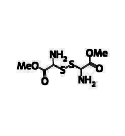 COC(=O)C(N)SSC(N)C(=O)OC